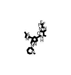 Cc1cnc(-c2cc(C(=O)NC(C)c3cnc(C(F)(F)F)nc3)cc3nn(C4=CN(C)C=CC=C4)cc23)s1